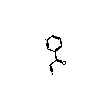 O=C(C=S)c1[c]nccc1